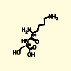 NCCCC[C@H](N)C(=O)N[C@@H](CO)C(=O)O